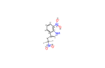 CC(C)(Cc1c[nH]c2c([N+](=O)[O-])cccc12)[N+](=O)[O-]